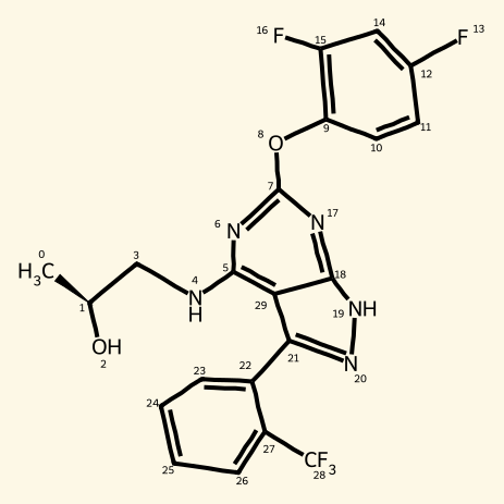 C[C@H](O)CNc1nc(Oc2ccc(F)cc2F)nc2[nH]nc(-c3ccccc3C(F)(F)F)c12